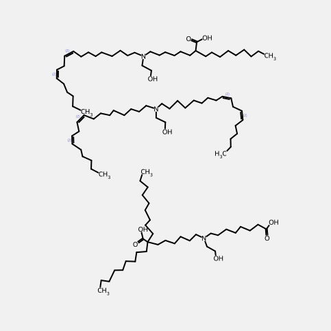 CCCCC/C=C\C/C=C\CCCCCCCCN(CCO)CCCCCCC(CCCCCCCCC)C(=O)O.CCCCC/C=C\C/C=C\CCCCCCCCN(CCO)CCCCCCCC/C=C\C/C=C\CCCCC.CCCCCCCCCC(CCCCCCCCC)(CCCCCCN(CCO)CCCCCCCC(=O)O)C(=O)O